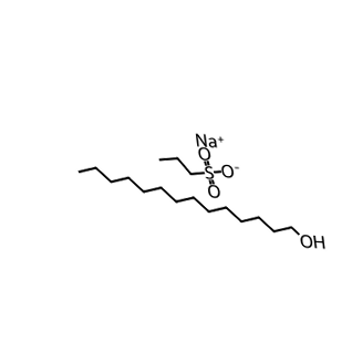 CCCCCCCCCCCCCCO.CCCS(=O)(=O)[O-].[Na+]